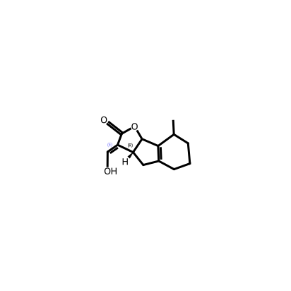 CC1CCCC2=C1C1OC(=O)/C(=C/O)[C@H]1C2